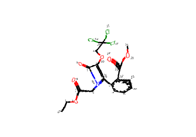 CCOC(=O)CN1C(=O)C(OCC(Cl)(Cl)Cl)=C1c1ccccc1C(=O)OC